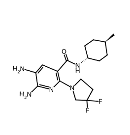 C[C@H]1CC[C@H](NC(=O)c2cc(N)c(N)nc2N2CCC(F)(F)C2)CC1